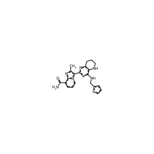 Cc1nc2c(C(N)=O)cccn2c1-c1nc2c(c(NCc3cccs3)n1)NCCC2